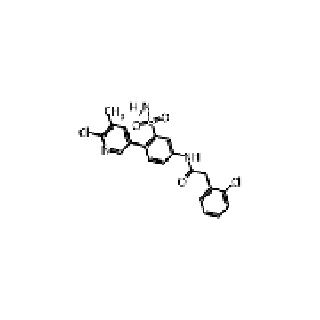 Cc1cc(-c2ccc(NC(=O)Cc3ccccc3Cl)cc2S(N)(=O)=O)cnc1Cl